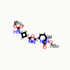 CCCCON1C(=O)N2C[C@H]1CC[C@H]2c1nnc([C@H]2C[C@H](NC(=O)OC(C)(C)C)C2)o1